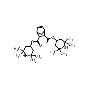 CC1(C)CC(OC(=O)C2C3C=CC(C3)C2C(=O)OC2CC(C)(C)NC(C)(C)C2)CC(C)(C)N1